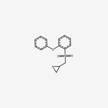 O=S(=O)(CC1CS1)c1ccccc1Oc1ccccc1